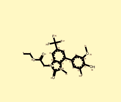 CCOC(=O)Cn1c(=O)n(C)c2c(-c3cc(F)c(O)c(OC)c3)cc(C(F)(F)F)cc21